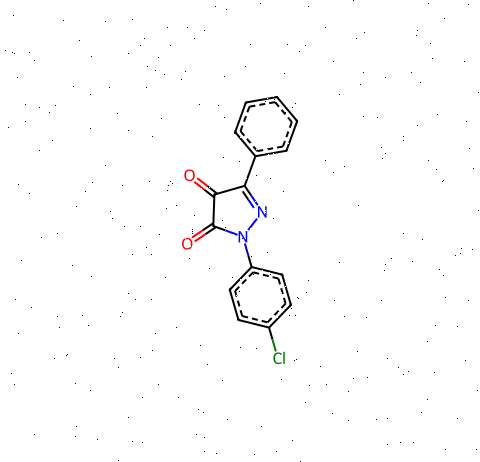 O=C1C(=O)N(c2ccc(Cl)cc2)N=C1c1ccccc1